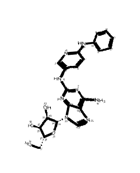 Nc1nc(Nc2ccc(Nc3ccccc3)nc2)nc2c1ncn2[C@@H]1O[C@H](CO)[C@@H](O)[C@H]1O